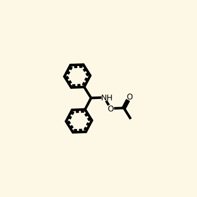 CC(=O)ONC(c1ccccc1)c1ccccc1